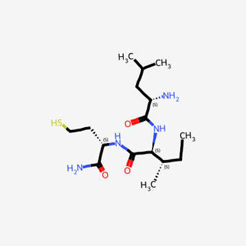 CC[C@H](C)[C@H](NC(=O)[C@@H](N)CC(C)C)C(=O)N[C@@H](CCS)C(N)=O